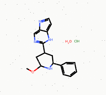 COC1CC(c2ncc3nccc-3[nH]2)CC(c2ccccc2)N1.Cl.O